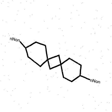 CCCCCCCCCC1CCC2(CC1)CC1(CCC(CCCCCCCCC)CC1)C2